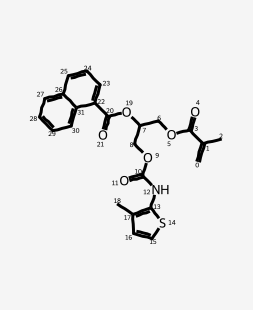 C=C(C)C(=O)OCC(COC(=O)Nc1sccc1C)OC(=O)c1cccc2ccccc12